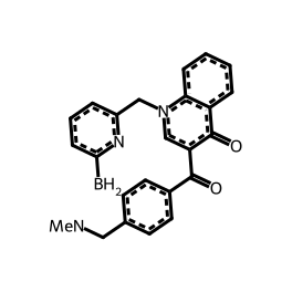 Bc1cccc(Cn2cc(C(=O)c3ccc(CNC)cc3)c(=O)c3ccccc32)n1